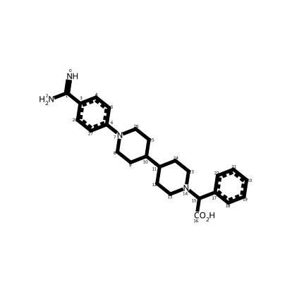 N=C(N)c1ccc(N2CCC(C3CCN(C(C(=O)O)c4ccccc4)CC3)CC2)cc1